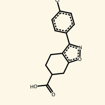 O=C(O)C1CCc2c(-c3ccc(Cl)cc3)noc2C1